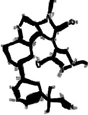 Cn1cc(-n2c(=O)n(C)c3cnc4ccc(-c5cncc(C(C)(C)C#N)c5)cc4c32)c(Cl)n1